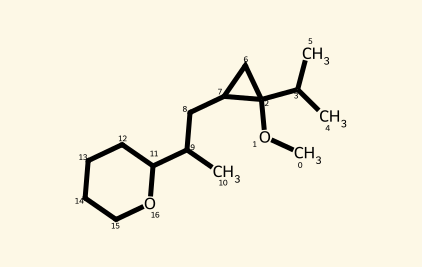 COC1(C(C)C)CC1CC(C)C1CCCCO1